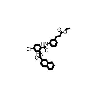 CCOC(=O)CCc1cccc(NC(=O)c2ccc(Cl)cc2NC(=O)c2ccc3ccccc3c2)c1